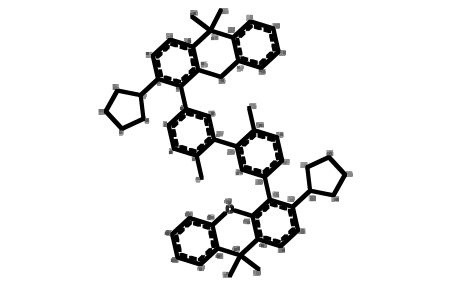 Cc1ccc(-c2c(C3CCCC3)ccc3c2Cc2ccccc2C3(C)C)cc1-c1cc(-c2c(C3CCCC3)ccc3c2Oc2ccccc2C3(C)C)ccc1C